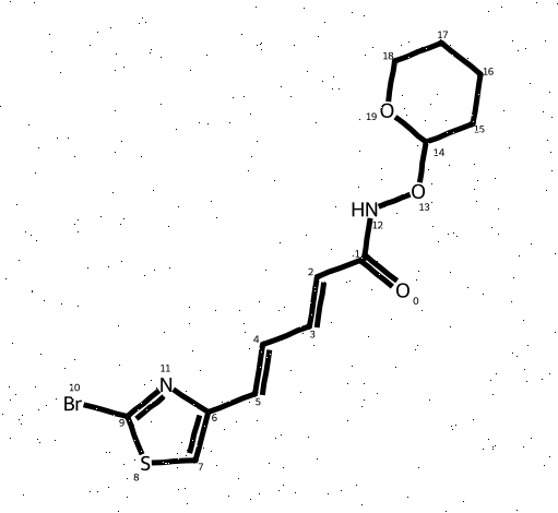 O=C(/C=C/C=C/c1csc(Br)n1)NOC1CCCCO1